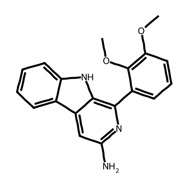 COc1cccc(-c2nc(N)cc3c2[nH]c2ccccc23)c1OC